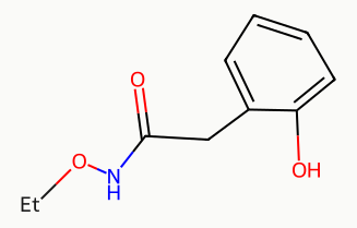 CCONC(=O)Cc1ccccc1O